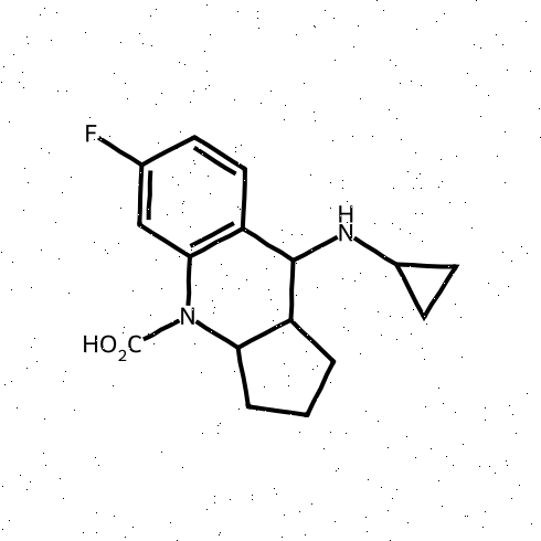 O=C(O)N1c2cc(F)ccc2C(NC2CC2)C2CCCC21